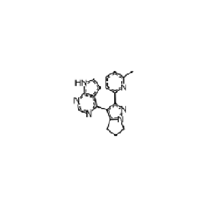 Cc1cccc(-c2nn3c(c2-c2ncnc4[nH]ccc24)CCC3)n1